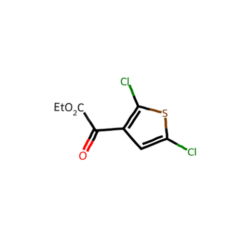 CCOC(=O)C(=O)c1cc(Cl)sc1Cl